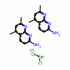 Cc1cc(C)c2ccc(N)nc2n1.Cc1cc(C)c2ccc(N)nc2n1.[Cl-].[Cl][Fe+][Cl]